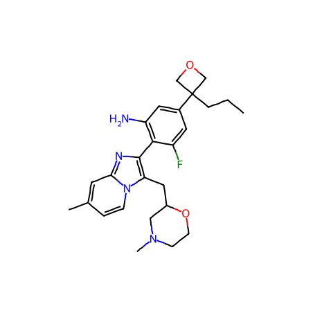 CCCC1(c2cc(N)c(-c3nc4cc(C)ccn4c3CC3CN(C)CCO3)c(F)c2)COC1